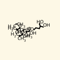 C=C(C)C(=O)O.C=C(C)C(=O)O.C=C(C)C(=O)O.CCC.OCCCC(CO)CO